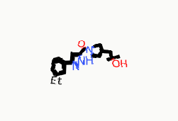 CCc1cccc(-c2cc(C(=O)N3CCC(CC(C)(C)O)CC3)[nH]n2)c1